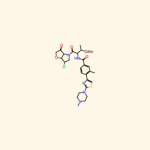 COC(C)C(NC(=O)c1ccc(-c2csc(N3CCN(C)CC3)n2)c(C)c1)C(=O)N1CC(Cl)C2OCC(=O)C21